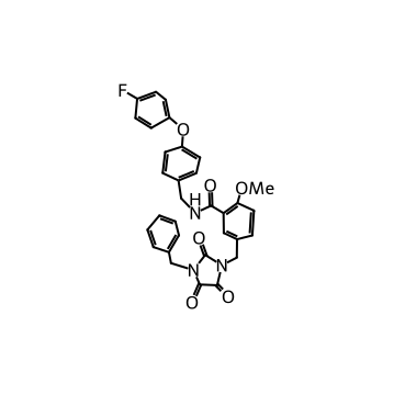 COc1ccc(CN2C(=O)C(=O)N(Cc3ccccc3)C2=O)cc1C(=O)NCc1ccc(Oc2ccc(F)cc2)cc1